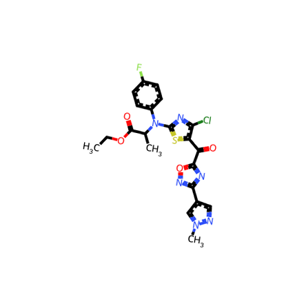 CCOC(=O)C(C)N(c1ccc(F)cc1)c1nc(Cl)c(C(=O)c2nc(-c3cnn(C)c3)no2)s1